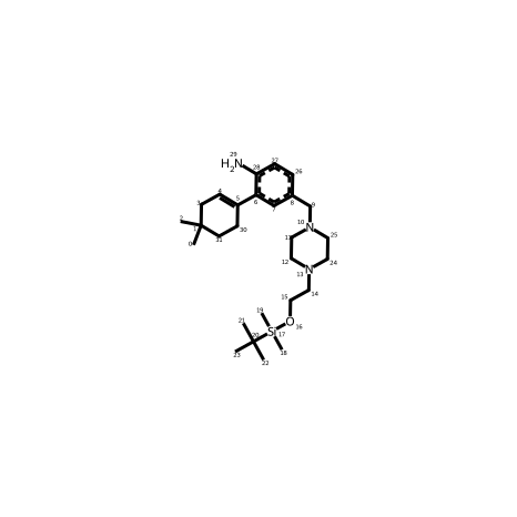 CC1(C)CC=C(c2cc(CN3CCN(CCO[Si](C)(C)C(C)(C)C)CC3)ccc2N)CC1